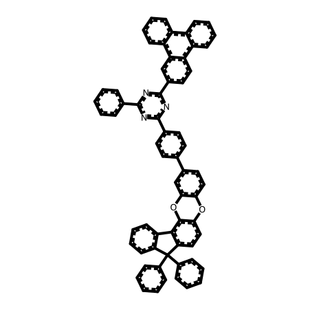 c1ccc(-c2nc(-c3ccc(-c4ccc5c(c4)Oc4c(ccc6c4-c4ccccc4C6(c4ccccc4)c4ccccc4)O5)cc3)nc(-c3ccc4c5ccccc5c5ccccc5c4c3)n2)cc1